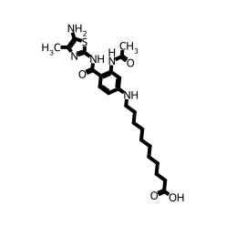 CC(=O)Nc1cc(NCCCCCCCCCCC(=O)O)ccc1C(=O)Nc1nc(C)c(N)s1